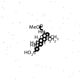 C=C(C)[C@@H]1CC[C@]2(CNCCC(=O)OC)CC[C@]3(C)[C@H](CC[C@@H]4[C@@]5(C)CC=C(c6ccc(C(=O)O)cc6)C(C)(C)[C@@H]5CC[C@]43C)[C@@H]12